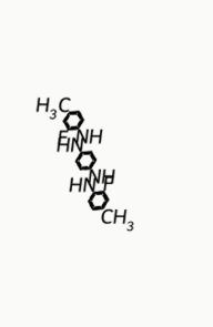 Cc1ccc(NNc2ccc(NNc3ccc(C)cc3F)cc2)c(F)c1